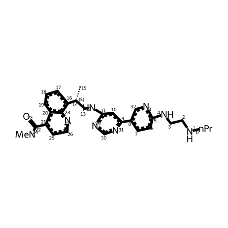 CCCNCCNc1ccc(-c2cc(NC[C@@H](C)c3cccc4c(C(=O)NC)ccnc34)ncn2)cn1